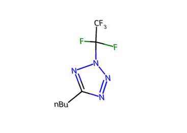 CCCCc1nnn(C(F)(F)C(F)(F)F)n1